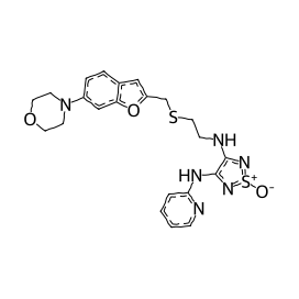 [O-][s+]1nc(NCCSCc2cc3ccc(N4CCOCC4)cc3o2)c(Nc2ccccn2)n1